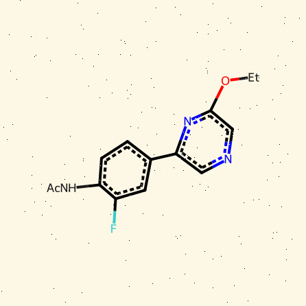 CCOc1cncc(-c2ccc(NC(C)=O)c(F)c2)n1